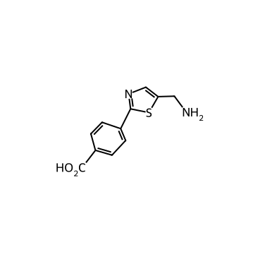 NCc1cnc(-c2ccc(C(=O)O)cc2)s1